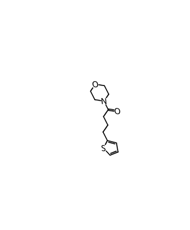 O=C(CCCc1cccs1)N1CCOCC1